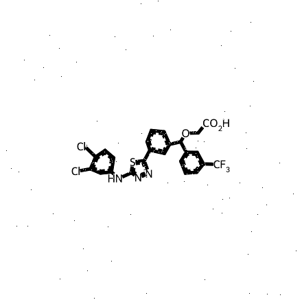 O=C(O)COC(c1cccc(-c2nnc(Nc3ccc(Cl)c(Cl)c3)s2)c1)c1cccc(C(F)(F)F)c1